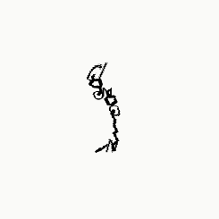 C=CCN(C)CCCCCCOc1ccc(N(C)C(=O)c2ccc(Cl)cc2)cc1